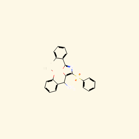 COc1ccccc1C(N)c1oc(-c2ccccc2C)nc1S(=O)(=O)c1ccccc1